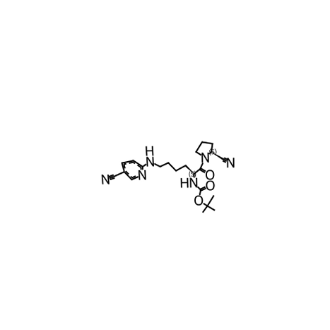 CC(C)(C)OC(=O)N[C@@H](CCCCNc1ccc(C#N)cn1)C(=O)N1CCC[C@H]1C#N